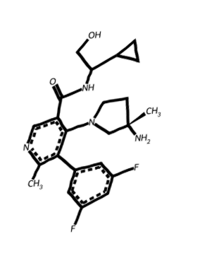 Cc1ncc(C(=O)NC(CO)C2CC2)c(N2CC[C@](C)(N)C2)c1-c1cc(F)cc(F)c1